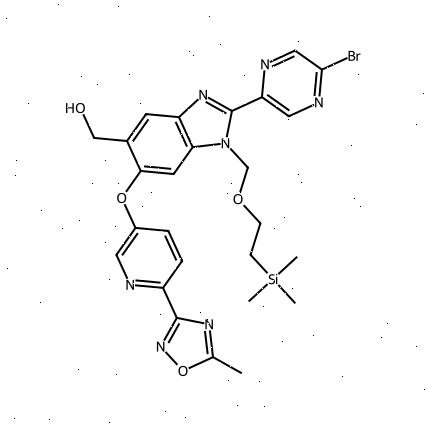 Cc1nc(-c2ccc(Oc3cc4c(cc3CO)nc(-c3cnc(Br)cn3)n4COCC[Si](C)(C)C)cn2)no1